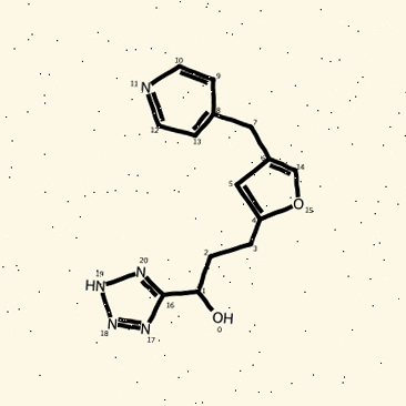 OC(CCc1cc(Cc2ccncc2)co1)c1nn[nH]n1